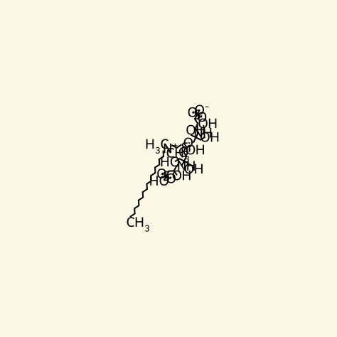 CCCCCCCCCCCCCCCCCC[N+](C)(C)CCC[Si](O)(OCC(CO)(CO)NCC(O)CS(=O)(=O)[O-])OCC(CO)(CO)NCC(O)CS(=O)(=O)O